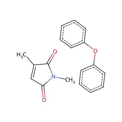 CC1=CC(=O)N(C)C1=O.c1ccc(Oc2ccccc2)cc1